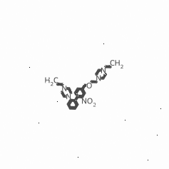 C=CCN1CCN(CCOCc2ccc(-c3ccccc3N3CCN(CC=C)CC3)c([N+](=O)[O-])c2)CC1